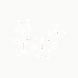 COC(=O)/C(=N\OC1(OC(=O)OC(C)(C)C)CCC1)c1ccco1